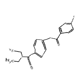 CCN(CC)C(=O)c1ccc(CC(=O)c2ccc(F)cc2)cc1